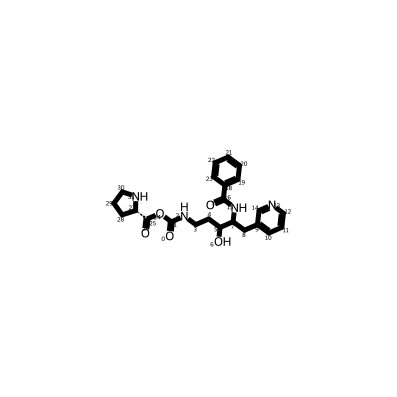 O=C(NCCC(O)C(Cc1cccnc1)NC(=O)c1ccccc1)OC(=O)[C@@H]1CCCN1